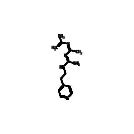 C=C(C)/N=C(C)\N=C(/N)NCCc1ccncc1